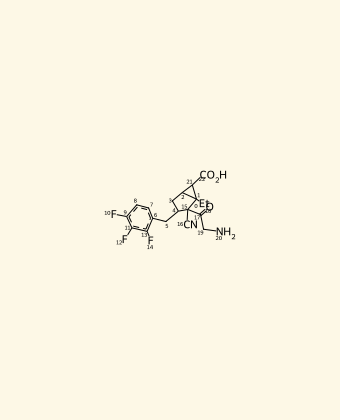 CCC12C(CC(Cc3ccc(F)c(F)c3F)C1(C#N)C(=O)CN)C2C(=O)O